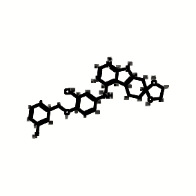 Fc1cccc(COc2ccc(Nc3ncnc4sc5c(c34)CCC3(C5)OCCO3)cc2Cl)c1